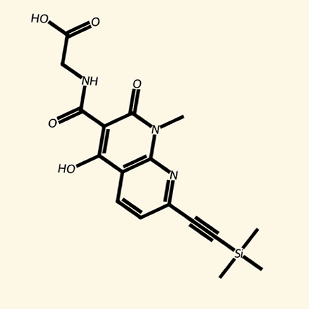 Cn1c(=O)c(C(=O)NCC(=O)O)c(O)c2ccc(C#C[Si](C)(C)C)nc21